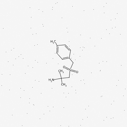 Cc1ccc(CS(=O)(=O)CC(C)(C)N)cc1